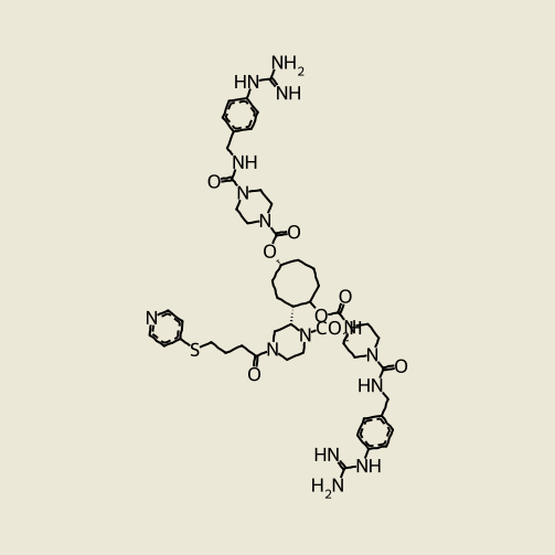 N=C(N)Nc1ccc(CNC(=O)N2CCN(C(=O)OC3CCC[C@@H](OC(=O)N4CCN(C(=O)NCc5ccc(NC(=N)N)cc5)CC4)CC[C@H]3C3CN(C(=O)CCCSc4ccncc4)CCN3C(=O)O)CC2)cc1